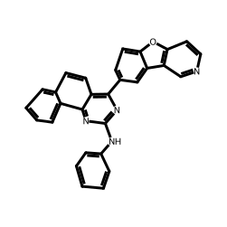 c1ccc(Nc2nc(-c3ccc4oc5ccncc5c4c3)c3ccc4ccccc4c3n2)cc1